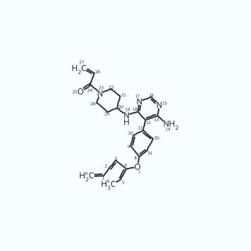 C=C/C=C\C(=C/C)Oc1ccc(-c2c(N)ncnc2NC2CCN(C(=O)C=C)CC2)cc1